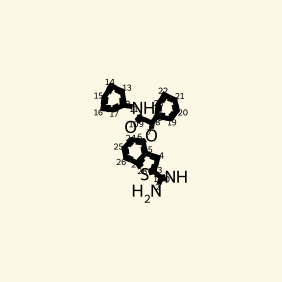 N=C(N)c1cc2c(OC(C(=O)Nc3ccccc3)c3ccccc3)cccc2s1